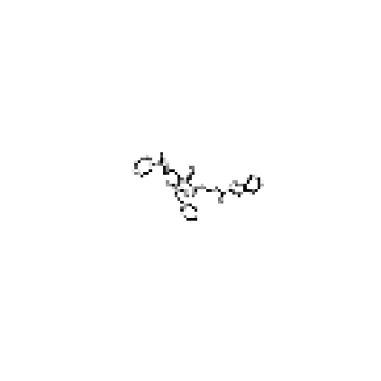 O=C(CCCNC(=O)C(CNC(=O)N1CCOCC1)S(=O)(=O)Cc1ccccc1)c1nc2ccccc2o1